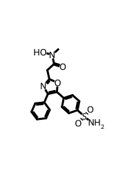 CN(O)C(=O)Cc1nc(-c2ccccc2)c(-c2ccc(S(N)(=O)=O)cc2)o1